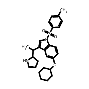 Cc1ccc(S(=O)(=O)n2cc(C(C)C3CCCN3)c3cc(OC4CCCCC4)ccc32)cc1